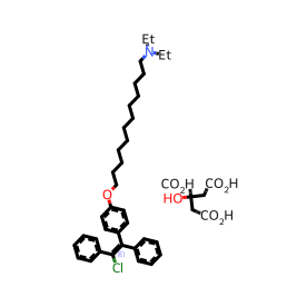 CCN(CC)CCCCCCCCCCCCOc1ccc(/C(=C(/Cl)c2ccccc2)c2ccccc2)cc1.O=C(O)CC(O)(CC(=O)O)C(=O)O